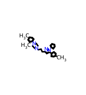 Cc1ccc(-c2cc(CCCN3CCN(c4ccc(C)cc4C)CC3)nn2-c2ccccc2)cc1